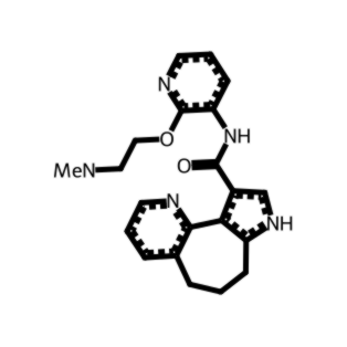 CNCCOc1ncccc1NC(=O)c1c[nH]c2c1-c1ncccc1CCC2